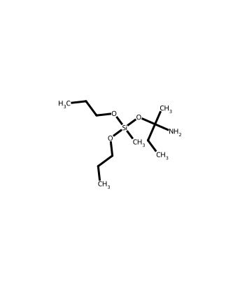 CCCO[Si](C)(OCCC)OC(C)(N)CC